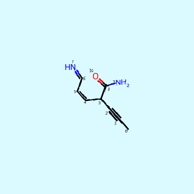 CC#CC(/C=C\C=N)C(N)=O